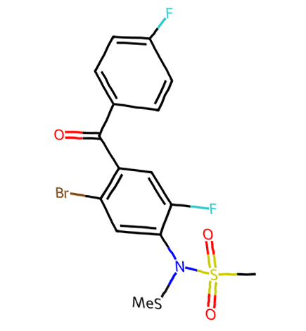 CSN(c1cc(Br)c(C(=O)c2ccc(F)cc2)cc1F)S(C)(=O)=O